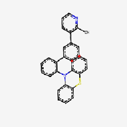 N#Cc1ncccc1-c1cccc(-c2ccccc2N2c3ccccc3Sc3ccccc32)c1